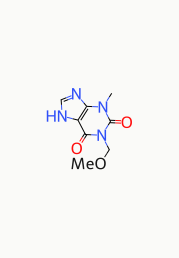 COCn1c(=O)c2[nH]cnc2n(C)c1=O